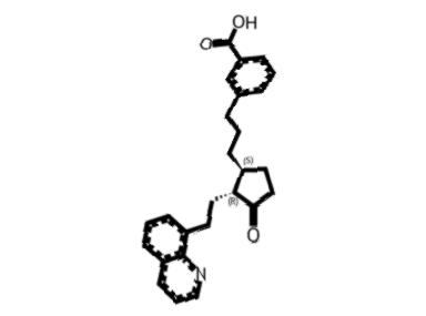 O=C(O)c1cccc(CCC[C@H]2CCC(=O)[C@@H]2CCc2cccc3cccnc23)c1